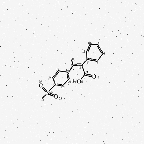 C/C(=C(/C(=O)O)c1ccccc1)c1ccc(S(C)(=O)=O)cc1